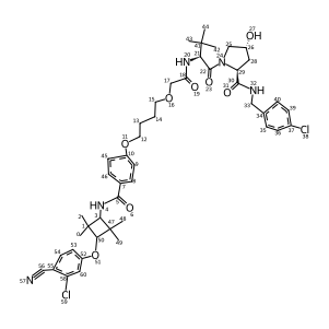 CC1(C)C(NC(=O)c2ccc(OCCCCOCC(=O)N[C@H](C(=O)N3C[C@H](O)C[C@H]3C(=O)NCc3ccc(Cl)cc3)C(C)(C)C)cc2)C(C)(C)C1Oc1ccc(C#N)c(Cl)c1